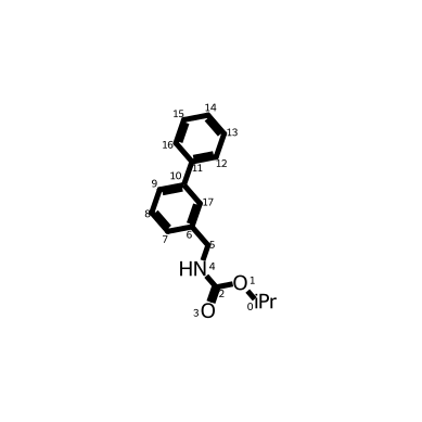 CC(C)OC(=O)NCc1cccc(-c2ccccc2)c1